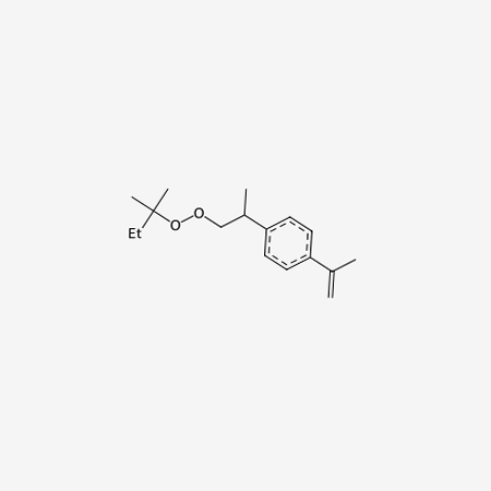 C=C(C)c1ccc(C(C)COOC(C)(C)CC)cc1